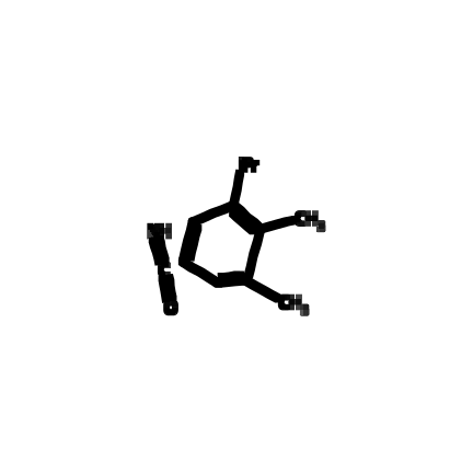 Cc1cccc(C(C)C)c1C.N=C=O